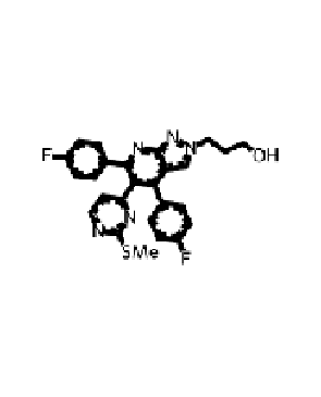 CSc1nccc(-c2c(-c3ccc(F)cc3)nc3nn(CCCO)cc3c2-c2ccc(F)cc2)n1